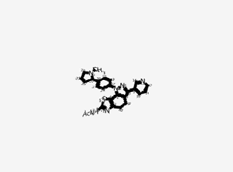 CC(=O)Nc1nc2c(s1)-c1c(c(-c3cccnc3)nn1-c1ccc(C3CCCN3C)cc1)CC2